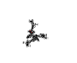 C=C(C)C(=O)OCC(O)OC(=O)CSCCC(=O)OCC(COCC(COC(=O)CCSCC(CC(=O)O)C(=O)O)(COC(=O)CCSCC(CC(=O)O)C(=O)O)CC(OOCC)SC)(CC(OOCC)SC)CC(OOCC)SC